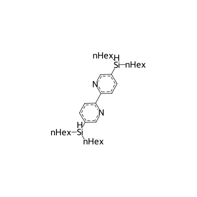 CCCCCC[SiH](CCCCCC)c1ccc(-c2ccc([SiH](CCCCCC)CCCCCC)cn2)nc1